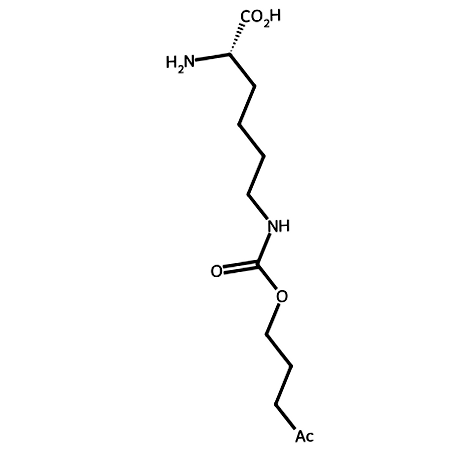 CC(=O)CCCOC(=O)NCCCC[C@H](N)C(=O)O